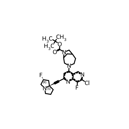 CC(C)(C)OC(=O)N1CC2CCN(c3cc(C#C[C@@]45CCCN4C[C@H](F)C5)nc4c(F)c(Cl)ncc34)CC1C2